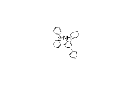 O=C(Nc1c(C2=CCCCC2)cc(-c2ccccc2)cc1C1=CCCCC1)c1ccccc1